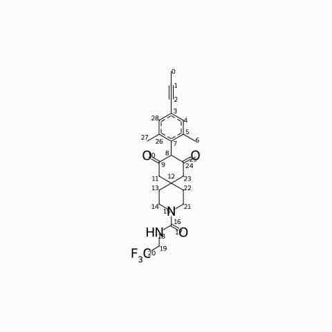 CC#Cc1cc(C)c(C2C(=O)CC3(CCN(C(=O)NCC(F)(F)F)CC3)CC2=O)c(C)c1